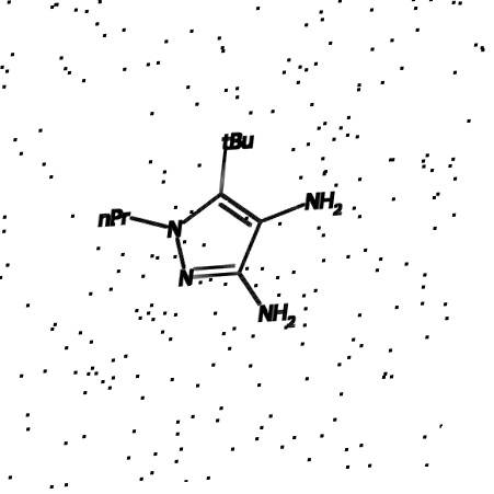 CCCn1nc(N)c(N)c1C(C)(C)C